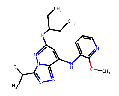 CCC(CC)Nc1cc(Nc2cccnc2OC)c2nnc(C(C)C)n2n1